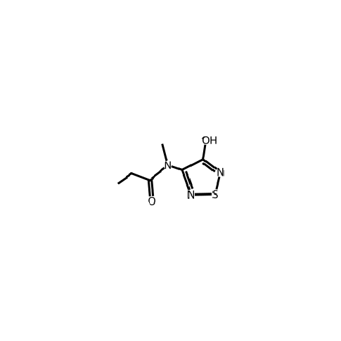 CCC(=O)N(C)c1nsnc1O